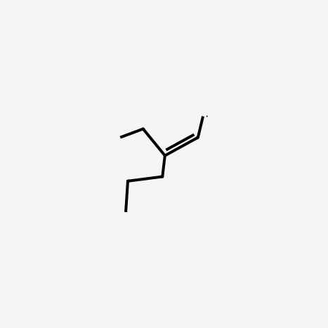 [CH2]/C=C(\CC)CCC